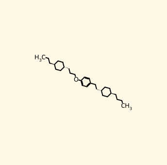 CCCC[C@H]1CC[C@H](CCc2ccc(OCCC[C@H]3CC[C@H](CCC)CC3)cc2)CC1